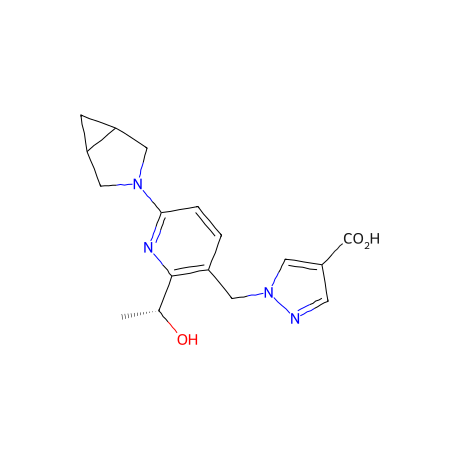 C[C@@H](O)c1nc(N2CC3CC3C2)ccc1Cn1cc(C(=O)O)cn1